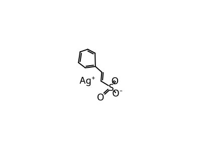 O=S(=O)([O-])C=Cc1ccccc1.[Ag+]